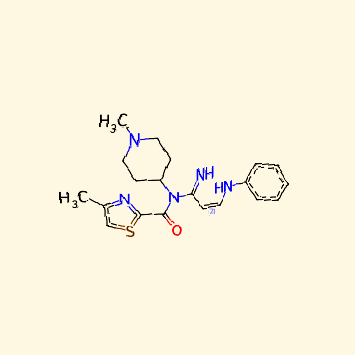 Cc1csc(C(=O)N(C(=N)/C=C\Nc2ccccc2)C2CCN(C)CC2)n1